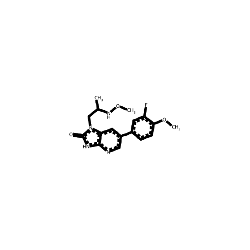 CONC(C)Cn1c(=O)[nH]c2ncc(-c3ccc(OC)c(F)c3)cc21